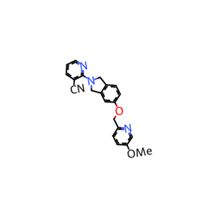 COc1ccc(COc2ccc3c(c2)CN(c2ncccc2C#N)C3)nc1